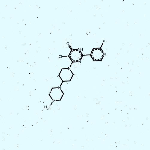 CN1CCN(C2CCN(c3nc(-c4ccnc(F)c4)[nH]c(=O)c3Cl)CC2)CC1